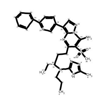 CCCN(c1nnc(C)[nH]1)[C@H](CC)CCc1nc2c(-c3ccc(-c4ccccc4)nc3)cnn2c(N)c1S(C)(=O)=O